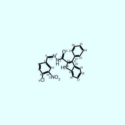 O=C(N/N=C\c1ccc(Cl)c([N+](=O)[O-])c1)c1[nH]c2ccccc2c1-c1ccccc1